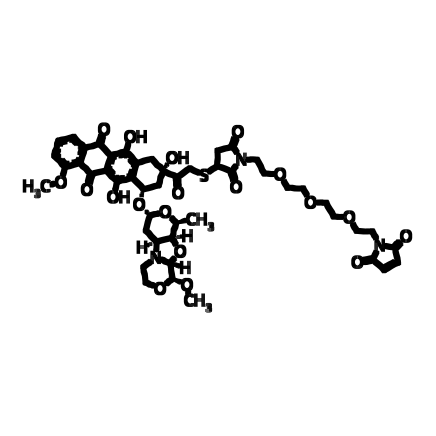 COc1cccc2c1C(=O)c1c(O)c3c(c(O)c1C2=O)C[C@@](O)(C(=O)CSC1CC(=O)N(CCOCCOCCOCCN2C(=O)C=CC2=O)C1=O)C[C@@H]3O[C@H]1C[C@H]2[C@H](O[C@@H]3[C@@H](OC)OCCN32)[C@H](C)O1